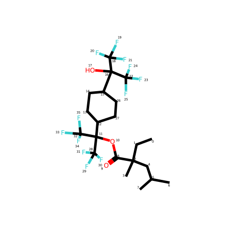 CCC(C)(CC(C)C)C(=O)OC(C1CCC(C(O)(C(F)(F)F)C(F)(F)F)CC1)(C(F)(F)F)C(F)(F)F